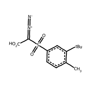 Cc1ccc(S(=O)(=O)C(=[N+]=[N-])C(=O)O)cc1C(C)(C)C